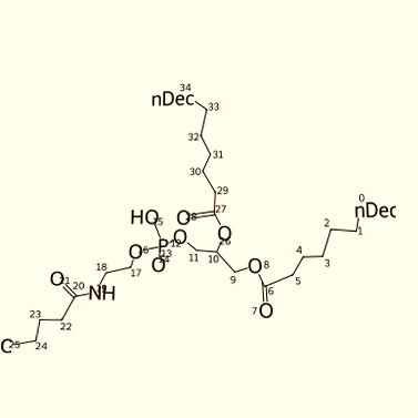 CCCCCCCCCCCCCCCC(=O)OCC(COP(=O)(O)OCCNC(=O)CCCC=O)OC(=O)CCCCCCCCCCCCCCC